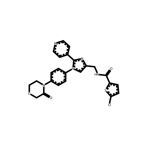 O=C(NCc1cn(-c2ccc(N3CCOCC3=O)cc2)c(-c2ccncc2)n1)c1ccc(Cl)s1